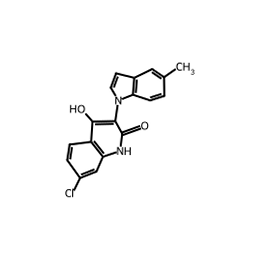 Cc1ccc2c(ccn2-c2c(O)c3ccc(Cl)cc3[nH]c2=O)c1